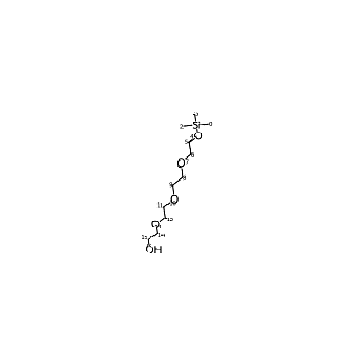 C[Si](C)(C)OCCOCCOCCOCCO